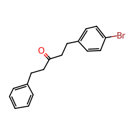 O=C(CCc1ccccc1)CCc1ccc(Br)cc1